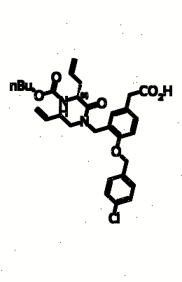 C=CCCN(Cc1cc(CC(=O)O)ccc1OCc1ccc(Cl)cc1)C(=O)[C@@H](CC=C)NC(=O)OCCCC